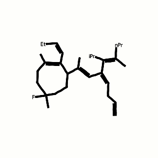 C=CC/C=C(\C=C(/C)C1CCC(C)(F)CC/C(C)=C1/C=C\CC)C(=C(\C)CCC)/C(C)C